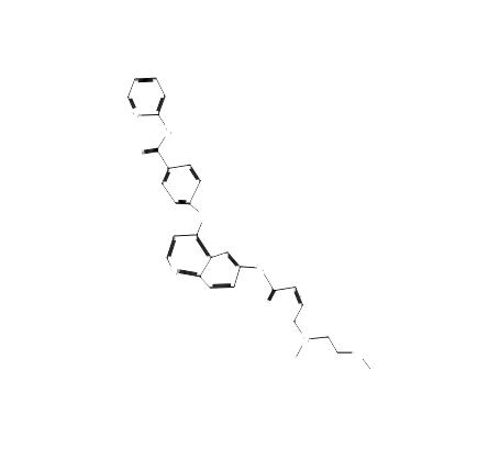 COCCN(C)C/C=C\C(=O)Nc1ccc2nccc(Oc3ccc(C(=O)Nc4ccccn4)cc3)c2c1